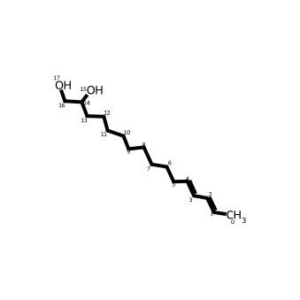 CC=CC=CCCCCCCCCCC(O)CO